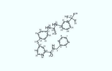 O=C(NCc1ccccc1)c1cc(Sc2ccc(NC(=S)Nc3cccc(C(F)(F)F)c3)cc2)ccn1